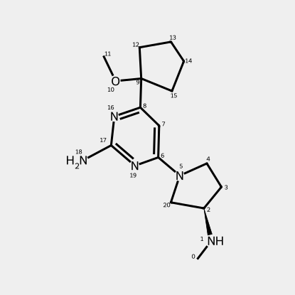 CN[C@@H]1CCN(c2cc(C3(OC)CCCC3)nc(N)n2)C1